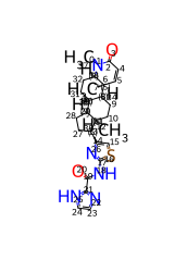 CN1C(=O)C=C[C@]2(C)[C@H]3CC[C@]4(C)[C@@H](c5csc(NC(=O)c6ncc[nH]6)n5)CC[C@H]4[C@@H]3CC[C@@H]12